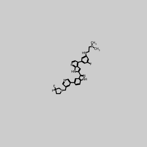 CN(C)CCNc1cc(F)cc(-c2ccnc3[nH]c(-c4n[nH]c5ccc(-c6cncc(CN7CCC(F)(F)C7)c6)cc45)cc23)c1